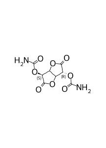 NC(=O)O[C@@H]1C(=O)OC2C1OC(=O)[C@@H]2OC(N)=O